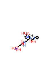 C=C(C(CCCCNC(=O)OCCCCON(O)O)NC(CCc1ccccc1)C(=O)O)N1CCCC1C(=O)O